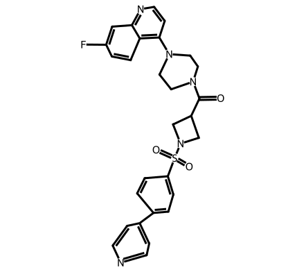 O=C(C1CN(S(=O)(=O)c2ccc(-c3ccncc3)cc2)C1)N1CCN(c2ccnc3cc(F)ccc23)CC1